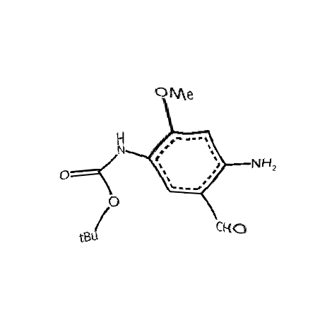 COc1cc(N)c(C=O)cc1NC(=O)OC(C)(C)C